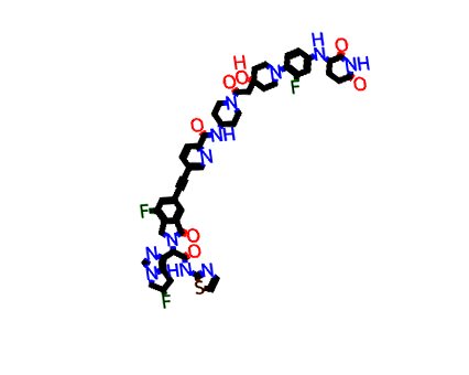 O=C1CCC(Nc2ccc(N3CCC(O)(CC(=O)N4CCC(NC(=O)c5ccc(C#Cc6cc(F)c7c(c6)C(=O)N(C(C(=O)Nc6nccs6)c6ncn8c6CC(F)C8)C7)cn5)CC4)CC3)c(F)c2)C(=O)N1